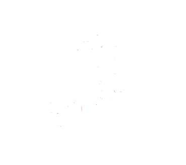 Cc1c(C(=O)N[C@H]2CCC[C@@H](N(C)C)C2)nn(-c2ccc(Cl)cc2Cl)c1-c1ccc(OS(=O)(=O)CCC(F)(F)F)cc1